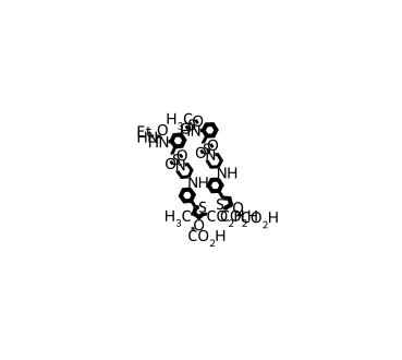 CCNC(=O)Nc1ccccc1CS(=O)(=O)N1CCC(Nc2cccc(-c3sc(C(=O)O)c(OCC(=O)O)c3C)c2)CC1.CS(=O)(=O)Nc1ccccc1CS(=O)(=O)N1CCC(Nc2cccc(-c3cc(OCC(=O)O)c(C(=O)O)s3)c2)CC1